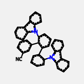 N#Cc1cccc(-c2c(-c3ccccc3-n3c4ccccc4c4ccccc43)cccc2-n2c3ccccc3c3ccccc32)c1